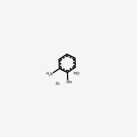 Cl.Nc1ccccc1O.[Zn]